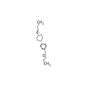 CCC/C=C/[C@H]1CC[C@H](c2ccc(COCCC)cc2)CC1